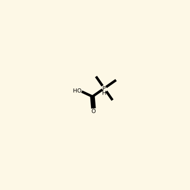 C[PH](C)(C)C(=O)O